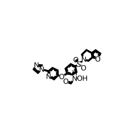 O=CNO.O=S(=O)(c1ccc(Oc2ccc(-n3ccnc3)nc2)cc1)N1CCc2ccoc2C1